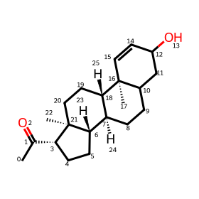 CC(=O)[C@H]1CC[C@H]2[C@@H]3CCC4CC(O)C=C[C@]4(C)[C@H]3CC[C@]12C